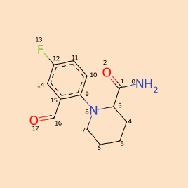 NC(=O)C1CCCCN1c1ccc(F)cc1C=O